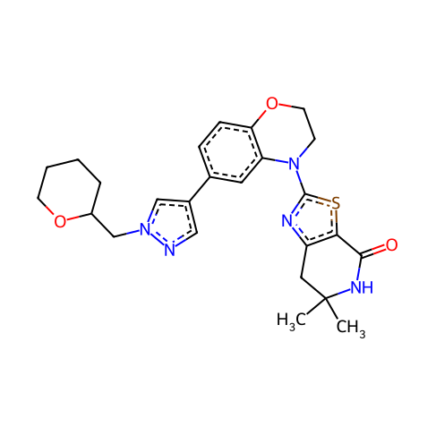 CC1(C)Cc2nc(N3CCOc4ccc(-c5cnn(CC6CCCCO6)c5)cc43)sc2C(=O)N1